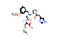 COc1cccc(CN(CC(=O)NC(CCSC)C(=O)O)C[C@@H]2CCCN2C(=O)Cc2c[nH]cn2)c1